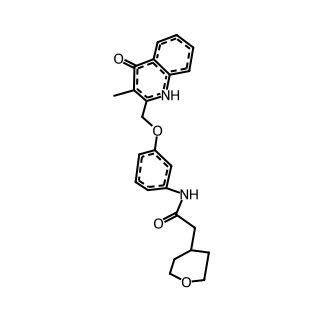 Cc1c(COc2cccc(NC(=O)CC3CCOCC3)c2)[nH]c2ccccc2c1=O